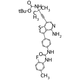 Cc1ccc(F)c(NC(=O)Nc2ccc(-c3csc4c(C#CC(C)(C)NC(=O)OC(C)(C)C)cnc(N)c34)cc2)c1